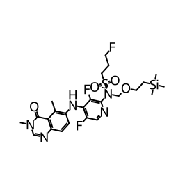 Cc1c(Nc2c(F)cnc(N(COCC[Si](C)(C)C)S(=O)(=O)CCCF)c2F)ccc2ncn(C)c(=O)c12